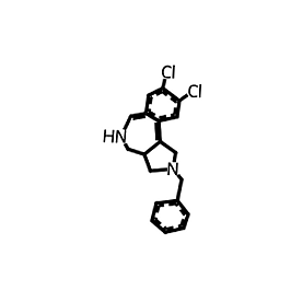 Clc1cc2c(cc1Cl)=C1CN(Cc3ccccc3)CC1CNC=2